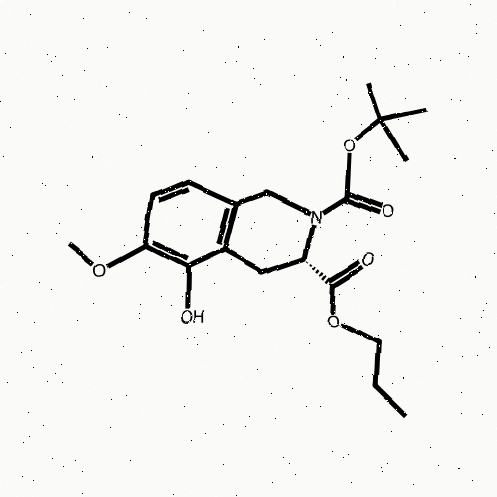 CCCOC(=O)[C@@H]1Cc2c(ccc(OC)c2O)CN1C(=O)OC(C)(C)C